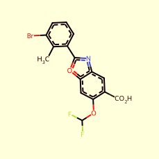 Cc1c(Br)cccc1-c1nc2cc(C(=O)O)c(OC(F)F)cc2o1